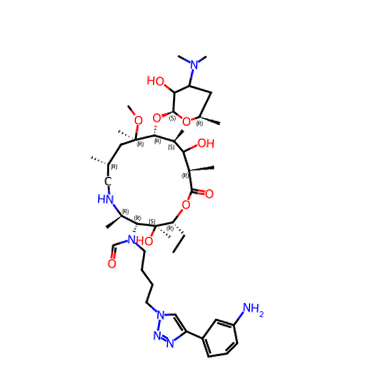 CC[C@H]1OC(=O)[C@H](C)C(O)[C@H](C)[C@@H](O[C@@H]2O[C@H](C)CC(N(C)C)C2O)[C@](C)(OC)C[C@@H](C)CN[C@H](C)[C@@H](N(C=O)CCCCn2cc(-c3cccc(N)c3)nn2)[C@]1(C)O